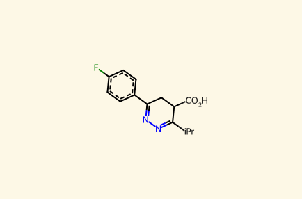 CC(C)C1=NN=C(c2ccc(F)cc2)CC1C(=O)O